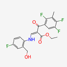 CCOC(=O)/C(=C\Nc1ccc(F)cc1CO)C(=O)c1cc(F)c(F)c(C)c1F